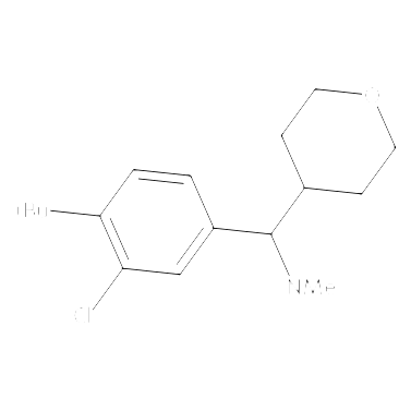 CNC(c1ccc(C(C)(C)C)c(Cl)c1)C1CCOCC1